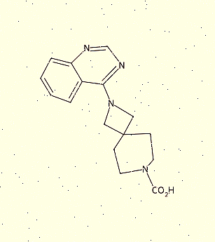 O=C(O)N1CCC2(CC1)CN(c1ncnc3ccccc13)C2